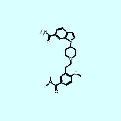 COc1ccc(C(=O)N(C)C)cc1CCN1CCC(n2ccc3ccc(C(N)=O)cc32)CC1